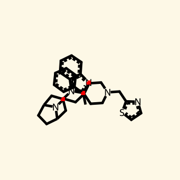 Cc1nc2ccccc2n1C1CC2CCC(C1)N2CCC1(c2ccccc2)CCN(Cc2nccs2)CC1